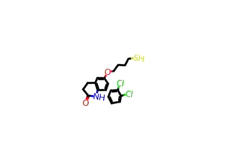 Clc1ccccc1Cl.O=C1CCc2cc(OCCCCS)ccc2N1